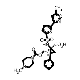 CN1CCN(C(=O)OC[C@@]2(c3ccccc3)C[C@]2(NS(=O)(=O)c2ccc(-c3cc(C(F)(F)F)on3)s2)C(=O)O)CC1